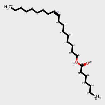 CCCCCCCC/C=C\CCCCCCCCOC(=O)CCCCCC